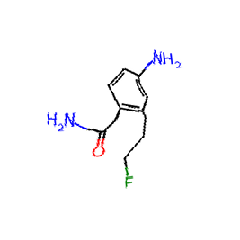 NC(=O)c1ccc(N)cc1CCF